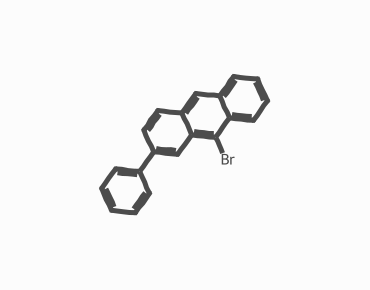 Brc1c2ccccc2cc2ccc(-c3ccccc3)cc12